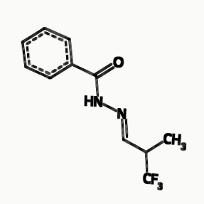 CC(/C=N/NC(=O)c1ccccc1)C(F)(F)F